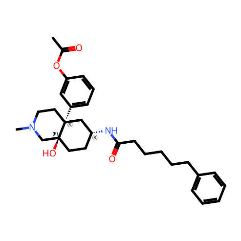 CC(=O)Oc1cccc([C@@]23CCN(C)C[C@@]2(O)CC[C@@H](NC(=O)CCCCCc2ccccc2)C3)c1